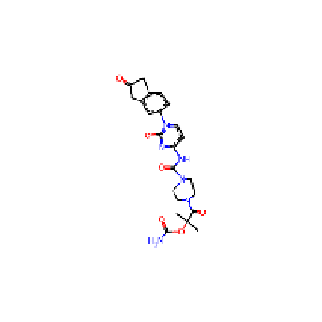 CC(C)(OC(N)=O)C(=O)N1CCN(C(=O)Nc2ccn(-c3ccc4c(c3)CC(=O)C4)c(=O)n2)CC1